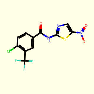 O=C(Nc1ncc([N+](=O)[O-])s1)c1ccc(Cl)c(C(F)(F)F)c1